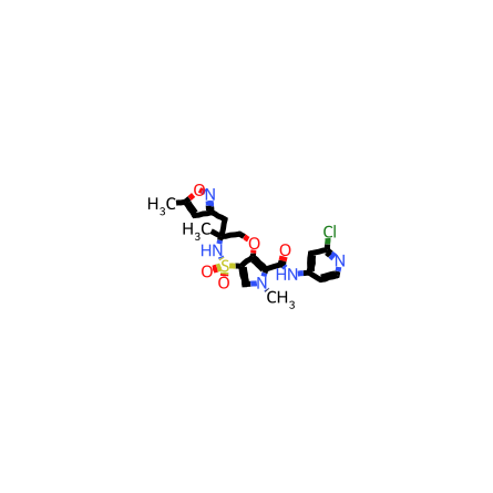 Cc1cc(CC2(C)COc3c(cn(C)c3C(=O)Nc3ccnc(Cl)c3)S(=O)(=O)N2)no1